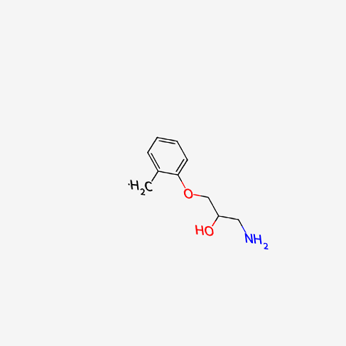 [CH2]c1ccccc1OCC(O)CN